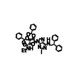 CCNC(=O)[C@H]1O[C@@H](n2cnc3c(NCC(c4ccccc4)c4ccccc4)nc(I)nc32)[C@H](OC(=O)c2ccccc2)[C@@H]1OC(=O)c1ccccc1